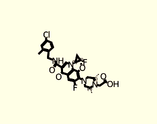 COc1c(N2C[C@@H](C)N(CC(=O)O)[C@@H](C)C2)c(F)cc2c(=O)c(C(=O)NCc3ccc(Cl)cc3C)cn([C@H]3C[C@H]3F)c12